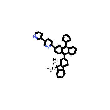 CC1(C)c2ccccc2-c2ccc(-c3c4ccccc4c(-c4ccccc4)c4cc(-c5ccc(-c6cccnc6)cn5)ccc34)cc21